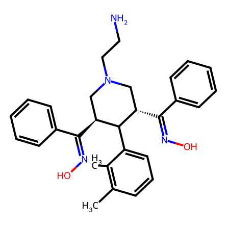 Cc1cccc(C2[C@@H](C(=NO)c3ccccc3)CN(CCN)C[C@@H]2C(=NO)c2ccccc2)c1C